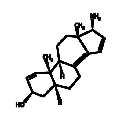 C[C@]12C=C[C@H](O)C[C@H]1CCC1=C3C=C[C@H](N)[C@@]3(C)CC[C@@H]12